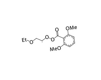 CCOC[CH]OOC(=O)c1c(OC)cccc1OC